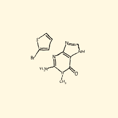 Brc1cccs1.Cn1c(N)nc2nc[nH]c2c1=O